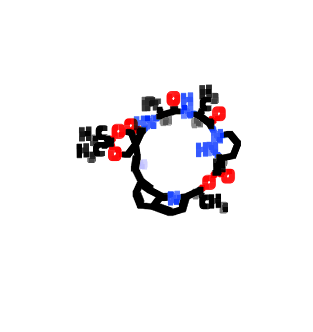 CC(C)[C@@H]1NC(=O)C2(/C=C/c3ccc4ccc(nc4c3)[C@@H](C)OC(=O)[C@@H]3CCCN(N3)C(=O)[C@H](C)NC1=O)COC(C)(C)OC2